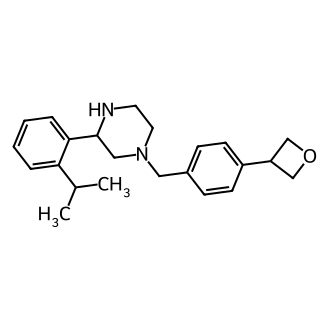 CC(C)c1ccccc1C1CN(Cc2ccc(C3COC3)cc2)CCN1